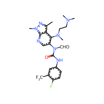 Cc1nn(C)c2ncc(N(C=O)C(=O)Nc3ccc(F)c(C(F)(F)F)c3)c(N(C)CCN(C)C)c12